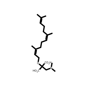 CC(C)=CCCC(C)=CCCC(C)=CCOC(CN(C)C)(C(=O)O)C(=O)O